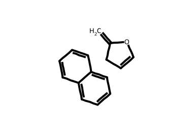 C=C1CC=CO1.c1ccc2ccccc2c1